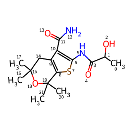 CC(O)C(=O)Nc1sc2c(c1C(N)=O)CC(C)(C)OC2(C)C